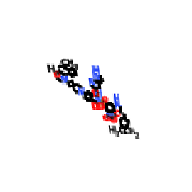 CC(C)c1ccccc1[C@@H]1COCCN1C1CC2(CCN(c3ccc(C(=O)NS(=O)(=O)c4cc5c(c([N+](=O)[O-])c4)O[C@@H](CC4CCC(C)(C)CC4)CN5)c(Oc4cnc5[nH]ccc5c4)c3)CC2)C1